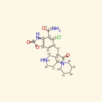 NC(=O)c1c(Cl)c(C[CH]C(=O)[N+]2(C3CCNCC3)CCCCC2)cc2oc(=O)[nH]c12